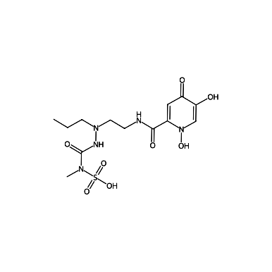 CCCN(CCNC(=O)c1cc(=O)c(O)cn1O)NC(=O)N(C)S(=O)(=O)O